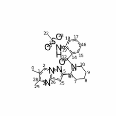 Cc1cn2nc([C@@H]3CCCCN3C(=O)c3ccccc3NS(C)(=O)=O)cc2nc1C